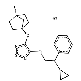 Cl.c1ccc(C(COc2nsnc2O[C@]23CC[C@@H](CC2)C3)C2CC2)cc1